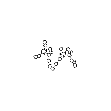 C1=C(c2ccc3ccccc3c2)N=C(c2cc(-c3ccc4c(c3)oc3c4ccc4cccc(-c5ccc(-c6ccc(C7N=C(c8cc(-c9ccc%10c(c9)sc9ccccc9%10)cc9oc%10ccccc%10c89)N=C(c8ccccc8)N7)cc6)cc5)c43)cc3oc4ccccc4c23)N=C(c2ccc3ccccc3c2)C1